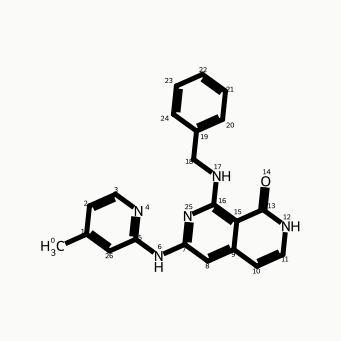 Cc1ccnc(Nc2cc3cc[nH]c(=O)c3c(NCc3ccccc3)n2)c1